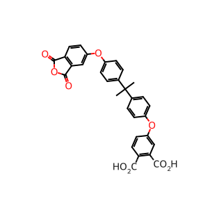 CC(C)(c1ccc(Oc2ccc(C(=O)O)c(C(=O)O)c2)cc1)c1ccc(Oc2ccc3c(c2)C(=O)OC3=O)cc1